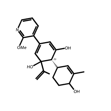 C=C(C)C1(O)C=C(c2cccnc2OC)C=C(O)[C@@H]1C1C=C(C)C(O)CC1